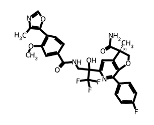 COc1cc(C(=O)NCC(O)(c2cc3c(c(-c4ccc(F)cc4)n2)OC[C@]3(C)C(N)=O)C(F)(F)F)ccc1-c1ocnc1C